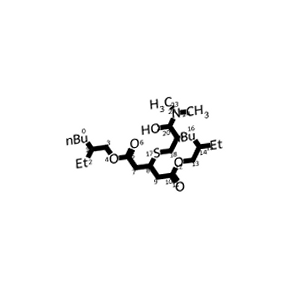 CCCCC(CC)COC(=O)CC(CC(=O)OCC(CC)CCCC)SCCC(O)N(C)C